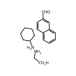 NC1CCCCC1.NCC(=O)O.O=Cc1ccc2ccccc2c1